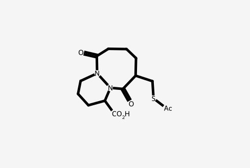 CC(=O)SCC1CCCC(=O)N2CCCC(C(=O)O)N2C1=O